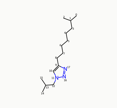 CC(C)CCCCCCc1cn(CC(C)C)nn1